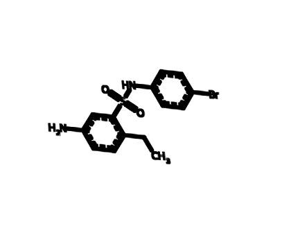 CCc1ccc(N)cc1S(=O)(=O)Nc1ccc(Br)cc1